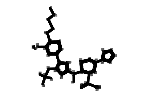 COCCOc1ccc(-c2nc(N(C)c3ncc(-c4cccs4)cc3C(=O)O)sc2CC(C)(C)C)cc1P